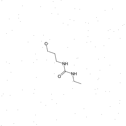 CCNC(=O)NCCC[O]